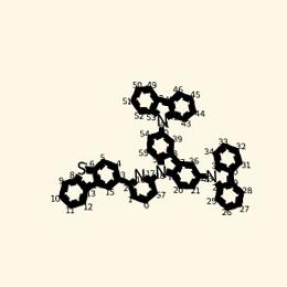 c1cc(-c2ccc3sc4ccccc4c3c2)nc(-n2c3ccc(-n4c5ccccc5c5ccccc54)cc3c3cc(-n4c5ccccc5c5ccccc54)ccc32)c1